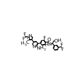 Cc1c(-c2cnc(N)c(-c3ccc(C(=O)NC(CO)c4cccc(C(F)F)c4)c(F)c3)c2)cnn1C(F)F